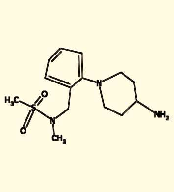 CN(Cc1ccccc1N1CCC(N)CC1)S(C)(=O)=O